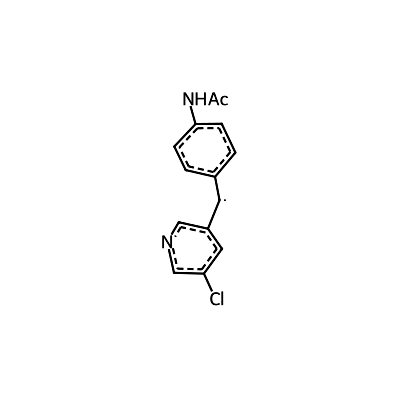 CC(=O)Nc1ccc([CH]c2cncc(Cl)c2)cc1